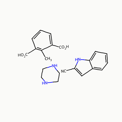 C1CNCCN1.Cc1c(C(=O)O)cccc1C(=O)O.N#Cc1cc2ccccc2[nH]1